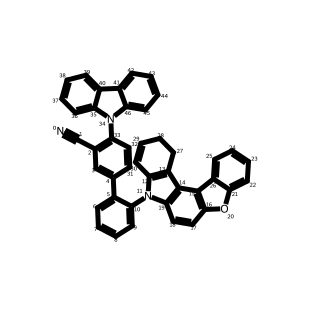 N#Cc1cc(-c2ccccc2-n2c3c(c4c5c(ccc42)oc2ccccc25)CCC=C3)ccc1-n1c2ccccc2c2ccccc21